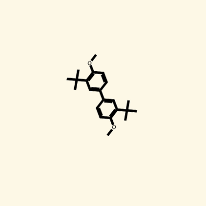 COc1ccc(-c2ccc(OC)c(C(C)(C)C)c2)cc1C(C)(C)C